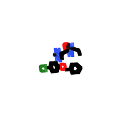 CCc1noc(-c2cn(-c3cc(Cl)ccc3OCc3ccccc3)cn2)n1